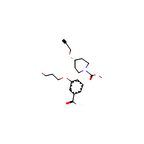 C#CCO[C@H]1CCN(C(=O)OC(C)(C)C)[C@H](c2ccc(C(=O)OC)cc2OCCCO)C1